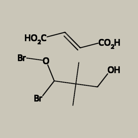 CC(C)(CO)C(Br)OBr.O=C(O)C=CC(=O)O